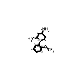 CC1CC(N)CCN1c1ccccc1OC(F)(F)F